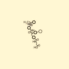 CCN(c1ccccc1)S(=O)(=O)c1cccc(NC(=O)N(Cc2ccc(C(=O)NCCC(=O)O)cc2)c2ccc(C3CCCCC3)cc2)c1